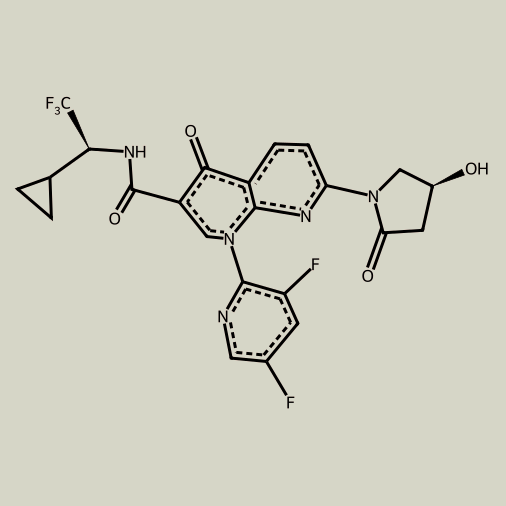 O=C(N[C@@H](C1CC1)C(F)(F)F)c1cn(-c2ncc(F)cc2F)c2nc(N3C[C@@H](O)CC3=O)ccc2c1=O